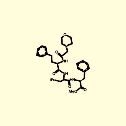 COC(=O)[C@H](Cc1ccccc1)NC(=O)C(CC(C)C)NC(=O)C(CCc1ccccc1)NC(=O)CN1CCOCC1